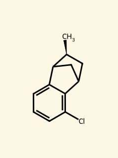 C[C@H]1CC2CC1c1cccc(Cl)c12